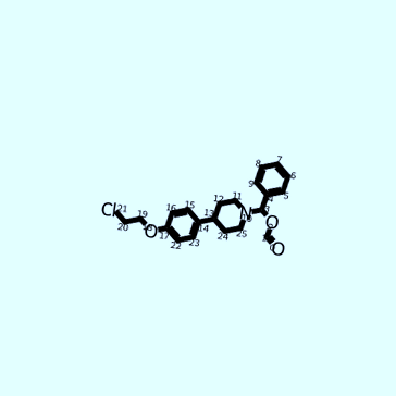 O=COC(c1ccccc1)N1CCC(c2ccc(OCCCl)cc2)CC1